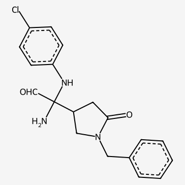 NC(C=O)(Nc1ccc(Cl)cc1)C1CC(=O)N(Cc2ccccc2)C1